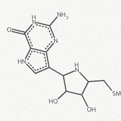 CSCC1NC(c2c[nH]c3c(=O)[nH]c(N)nc23)C(O)C1O